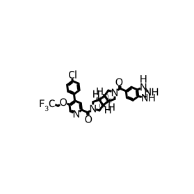 O=C(c1ccc2c(c1)NNN2)N1C[C@@H]2[C@H](C1)[C@H]1CN(C(=O)c3cc(-c4ccc(Cl)cc4)c(OCC(F)(F)F)cn3)C[C@@H]21